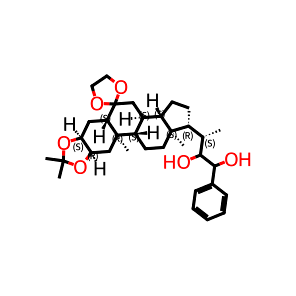 C[C@H](C(O)C(O)c1ccccc1)[C@H]1CC[C@H]2[C@@H]3CC4(OCCO4)[C@H]4C[C@@H]5OC(C)(C)O[C@@H]5C[C@]4(C)[C@H]3CC[C@]12C